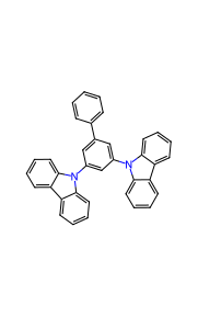 c1ccc(-c2cc(-n3c4ccccc4c4ccccc43)cc(-n3c4ccccc4c4ccccc43)c2)cc1